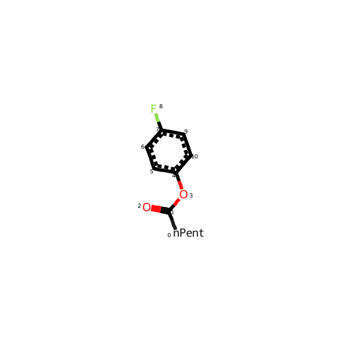 CCCCCC(=O)Oc1ccc(F)cc1